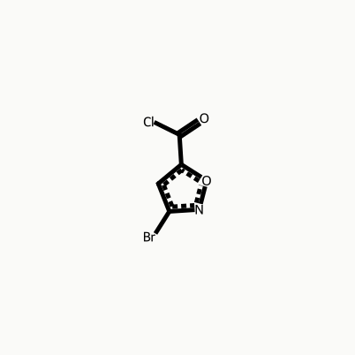 O=C(Cl)c1cc(Br)no1